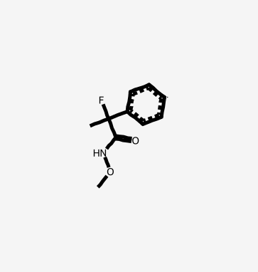 CONC(=O)C(C)(F)c1cc[c]cc1